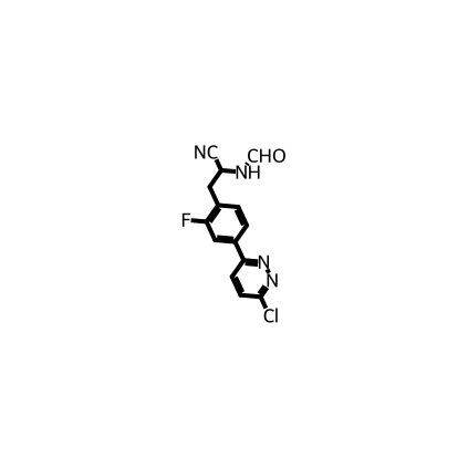 N#CC(Cc1ccc(-c2ccc(Cl)nn2)cc1F)NC=O